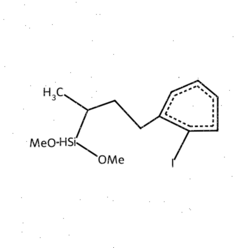 CO[SiH](OC)C(C)CCc1ccccc1I